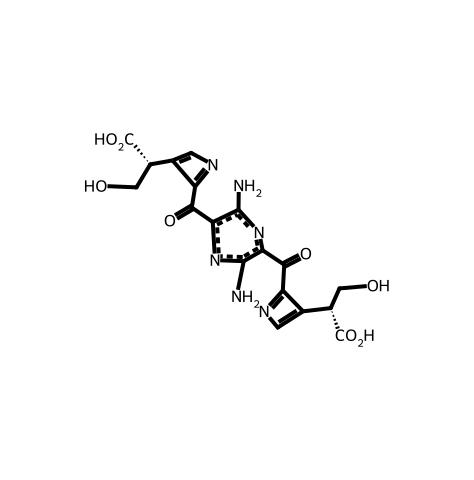 Nc1nc(C(=O)C2=NC=C2[C@H](CO)C(=O)O)c(N)nc1C(=O)C1=NC=C1[C@H](CO)C(=O)O